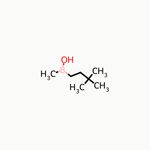 CB(O)CCC(C)(C)C